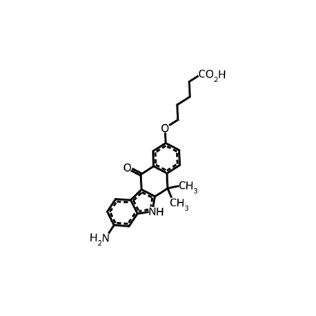 CC1(C)c2ccc(OCCCCC(=O)O)cc2C(=O)c2c1[nH]c1cc(N)ccc21